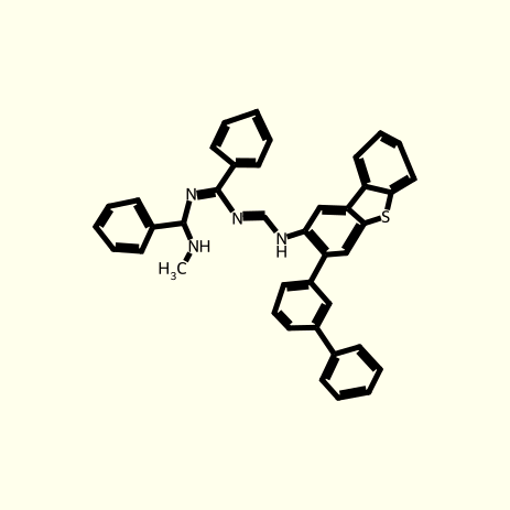 CNC(/N=C(\N=C\Nc1cc2c(cc1-c1cccc(-c3ccccc3)c1)sc1ccccc12)c1ccccc1)c1ccccc1